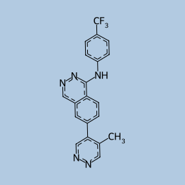 Cc1cnncc1-c1ccc2c(Nc3ccc(C(F)(F)F)cc3)nncc2c1